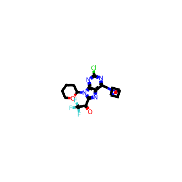 O=C(c1nc2c(N3CC4CC3C4)nc(Cl)nc2n1C1CCCCO1)C(F)(F)F